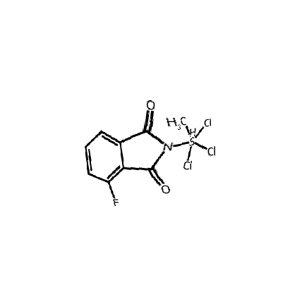 C[SH](Cl)(Cl)(Cl)N1C(=O)c2cccc(F)c2C1=O